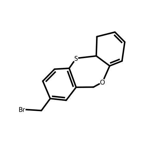 BrCc1ccc2c(c1)COC1=CC=CCC1S2